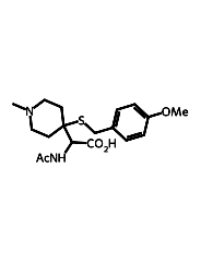 COc1ccc(CSC2(C(NC(C)=O)C(=O)O)CCN(C)CC2)cc1